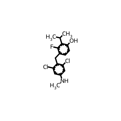 CNc1cc(Cl)c(Cc2ccc(O)c(C(C)C)c2F)c(Cl)c1